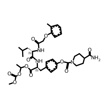 COC(=O)OC(C)OC(=O)[C@H](Cc1ccc(OC(=O)N2CCC(C(N)=O)CC2)cc1)NC(=O)[C@H](CC(C)C)NC(=O)COc1ccccc1C